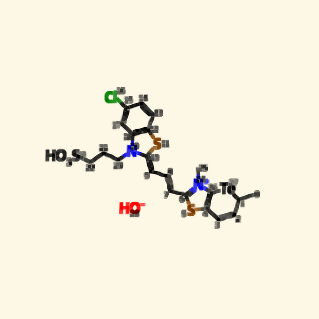 CC1C=Cc2sc(C=CC=C3Sc4ccc(Cl)cc4N3CCCS(=O)(=O)O)[n+](C)c2[Te]1.[OH-]